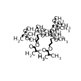 C=C(C)C(=O)OCCC[Si](C)(OC)OC.C=C(C)C(=O)OCCC[Si](OC)(OC)OC.C=C[Si](C)(OC)OC.C=C[Si](OC)(OC)OC